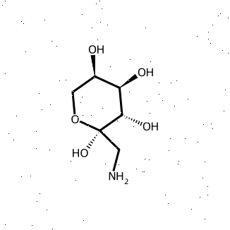 NC[C@@]1(O)OC[C@@H](O)[C@@H](O)[C@@H]1O